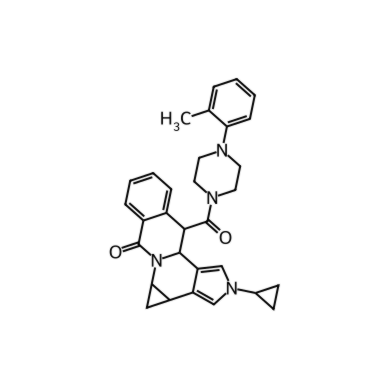 Cc1ccccc1N1CCN(C(=O)C2c3ccccc3C(=O)N3C4CC4c4cn(C5CC5)cc4C23)CC1